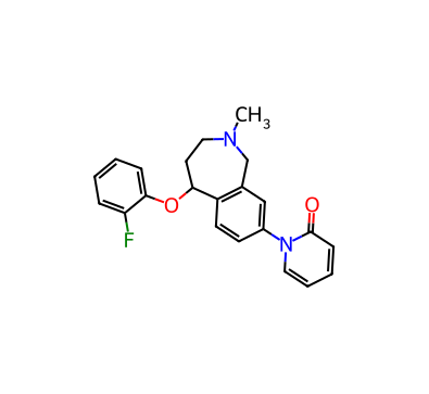 CN1CCC(Oc2ccccc2F)c2ccc(-n3ccccc3=O)cc2C1